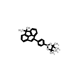 CC1(C)c2cccc3cc(-c4ccc(B5OC(C)(C)C(C)(C)O5)cc4)c4cccc1c4c23